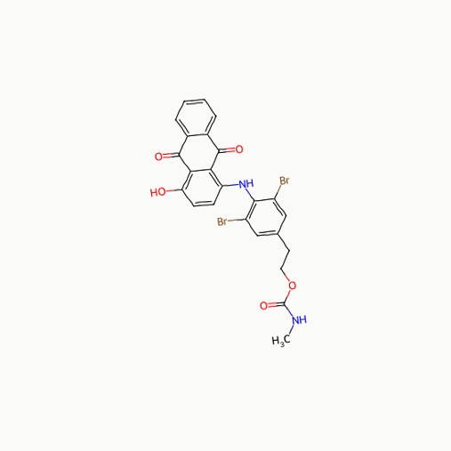 CNC(=O)OCCc1cc(Br)c(Nc2ccc(O)c3c2C(=O)c2ccccc2C3=O)c(Br)c1